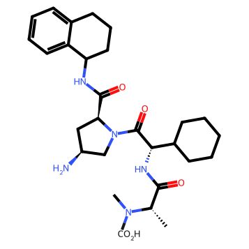 C[C@@H](C(=O)N[C@H](C(=O)N1C[C@@H](N)C[C@H]1C(=O)NC1CCCc2ccccc21)C1CCCCC1)N(C)C(=O)O